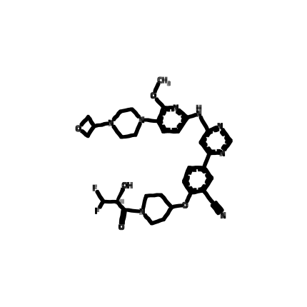 COc1nc(Nc2cc(-c3ccc(OC4CCN(C(=O)[C@H](O)C(F)F)CC4)c(C#N)c3)ncn2)ccc1N1CCN(C2COC2)CC1